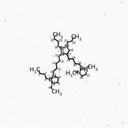 CCCCB1N(CC)CCN1CCCCCN1B(CCCC)N(CCC)CC1CCCCB1N(C)CCN1C